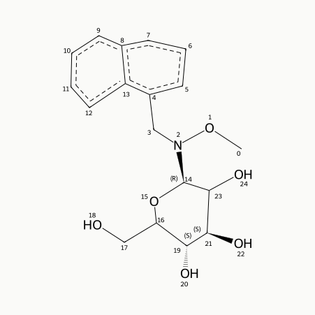 CON(Cc1cccc2ccccc12)[C@@H]1OC(CO)[C@@H](O)[C@H](O)C1O